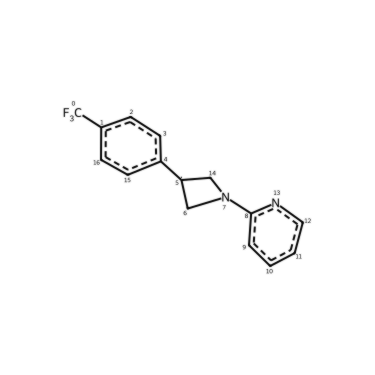 FC(F)(F)c1ccc([C]2CN(c3ccccn3)C2)cc1